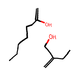 C=C(CC)CO.C=C(O)CCCCC